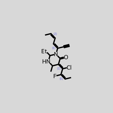 C#C/C(=C\C=C/C)N1C(=O)/C(=C(Cl)/C(F)=C\C)C(C)NC1CC